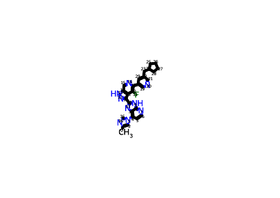 Cc1cn(-c2ccnc3[nH]c(-c4n[nH]c5cnc(-c6cncc(CC7CCCC7)c6)c(F)c45)nc23)cn1